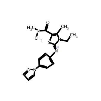 CCn1c(C)c(C(=O)N(C)C)s/c1=N\c1ccc(-n2cccn2)cc1